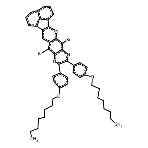 CCCCCCCCOc1ccc(-c2nc3c(Br)c4cc5c(nc4c(Br)c3nc2-c2ccc(OCCCCCCCC)cc2)-c2cccc3cccc-5c23)cc1